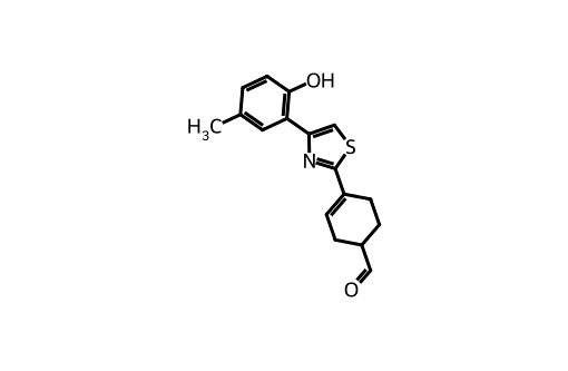 Cc1ccc(O)c(-c2csc(C3=CCC(C=O)CC3)n2)c1